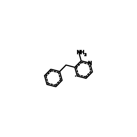 Nc1ncc[c]c1Cc1ccccc1